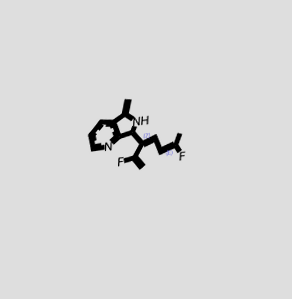 C=C(F)/C(=C\C=C(/C)F)C1NC(=C)c2cccnc21